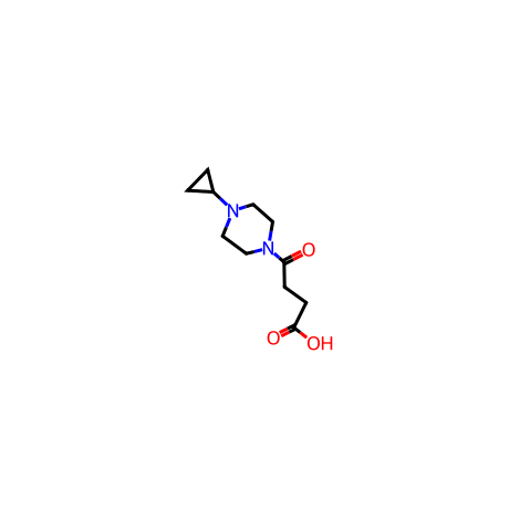 O=C(O)CCC(=O)N1CCN(C2CC2)CC1